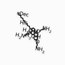 CCCCCCCCCCCCCCCCNCCCC[C@H]1CCC2[C@H]3C(C[C@H](OCCCN)[C@@]21C)[C@@]1(C)CC[C@@H](OCCCN)C[C@H]1C[C@H]3OCCCN